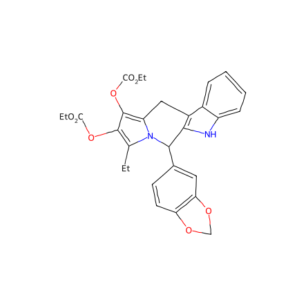 CCOC(=O)Oc1c(OC(=O)OCC)c2n(c1CC)C(c1ccc3c(c1)OCO3)c1[nH]c3ccccc3c1C2